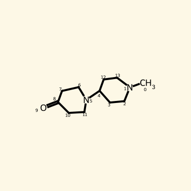 CN1CCC(N2CCC(=O)CC2)CC1